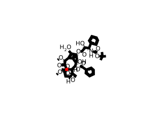 CO[C@H]1C(=O)[C@]2(C)[C@@H](OC)C[C@H]3OC[C@@]3(OC(C)=O)[C@H]2[C@H](OC(=O)c2ccccc2)[C@]2(O)C[C@H](OC(=O)[C@H](O)[C@@H](NC(=O)OC(C)(C)C)c3ccccc3)C(C)=C1C2(C)C.O